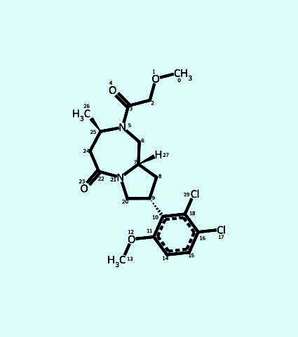 COCC(=O)N1C[C@@H]2C[C@H](c3c(OC)ccc(Cl)c3Cl)CN2C(=O)C[C@H]1C